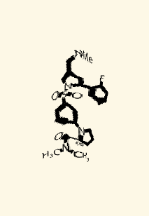 CNCC1=CN(S(=O)(=O)c2cccc(N3CCC[C@H]3C(=O)N(C)C)c2)C(c2ccccc2F)C1